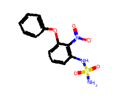 NS(=O)(=O)Nc1cccc(Oc2ccccc2)c1[N+](=O)[O-]